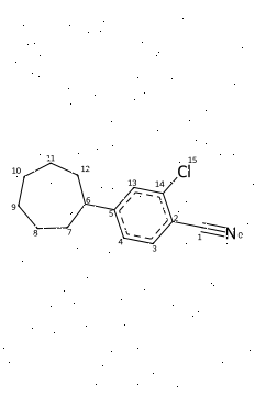 N#Cc1ccc(C2CCCCCC2)cc1Cl